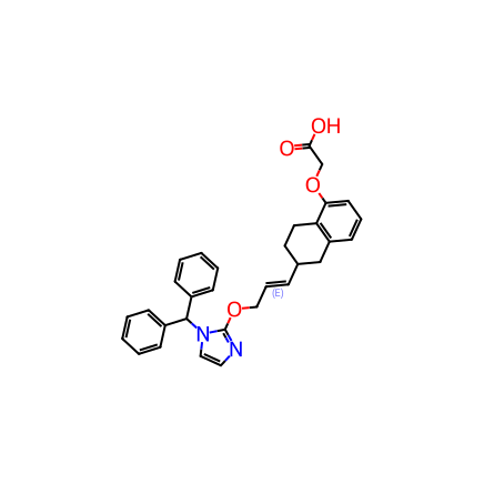 O=C(O)COc1cccc2c1CCC(/C=C/COc1nccn1C(c1ccccc1)c1ccccc1)C2